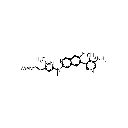 CNCCc1cc(Nc2cc3cc(-c4cncc(N)c4C)c(F)cc3cn2)nn1C